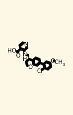 COc1ccc(Cl)c(-c2ccc3c(c2)OCC[C@H]3CNc2cnccc2C(=O)O)c1